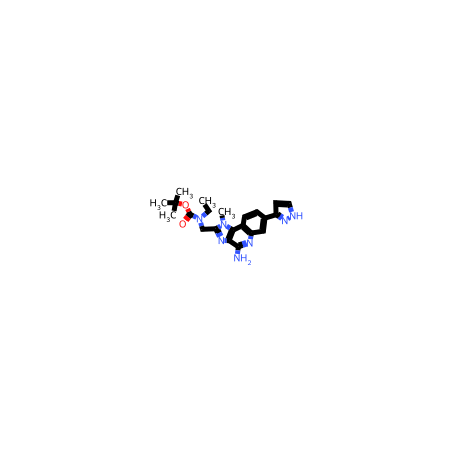 CCN(Cc1nc2c(N)nc3cc(-c4cc[nH]n4)ccc3c2n1C)C(=O)OC(C)(C)C